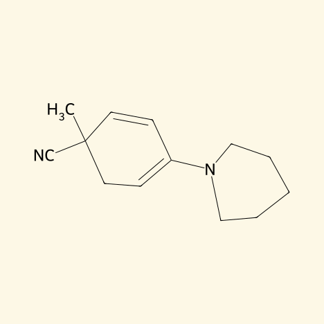 CC1(C#N)C=CC(N2CCCCC2)=CC1